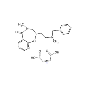 CN(CCC1CN(C)C(=O)c2cccnc2O1)Cc1ccccc1.O=C(O)/C=C\C(=O)O